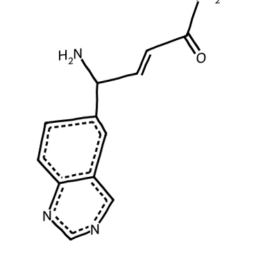 NC(=O)/C=C/C(N)c1ccc2ncncc2c1